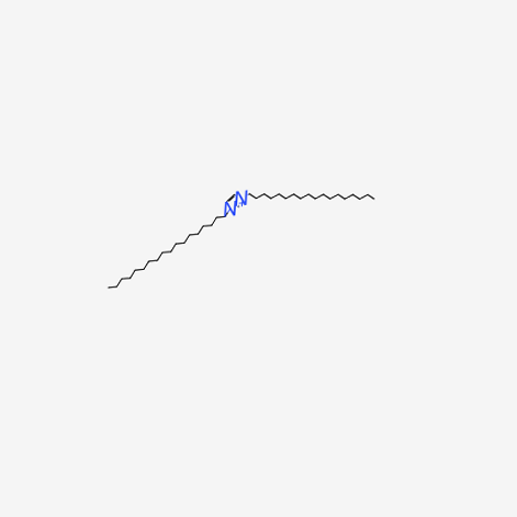 CCCCCCCCCCCCCCCCCCn1cc[n+](CCCCCCCCCCCCCCCCCC)c1